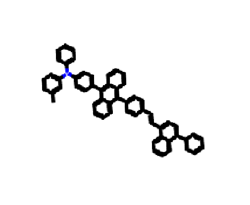 Cc1cccc(N(c2ccccc2)c2ccc(-c3c4ccccc4c(-c4ccc(/C=C/c5ccc(-c6ccccc6)c6ccccc56)cc4)c4ccccc34)cc2)c1